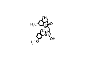 COc1ccc(Cl)c(NC(=O)N(CCO)Cc2cc3cc(C)cc(C)c3[nH]c2=O)c1